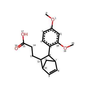 COc1ccc(C2C3C=CC(C3)C2CCC(=O)O)c(OC)c1